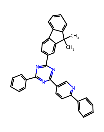 CC1(C)c2ccccc2-c2ccc(-c3nc(-c4ccccc4)nc(-c4ccc(-c5ccccc5)nc4)n3)cc21